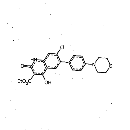 CCOC(=O)c1c(O)c2cc(-c3ccc(N4CCOCC4)cc3)c(Cl)cc2[nH]c1=O